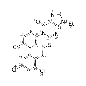 CCn1cnc2c(=O)n(-c3ccc(Cl)cc3)c(SCCc3ccc(Cl)cc3Cl)nc21